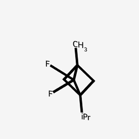 CC(C)C12CC(C)(C1)C2(F)F